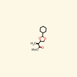 C=C(C(=O)OC)C1COC(C2CCCCC2)O1